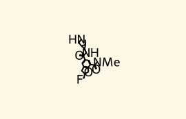 CNC(=O)c1cc(C(=O)NC2C3CNCC32)cc2c1OC(CF)C2